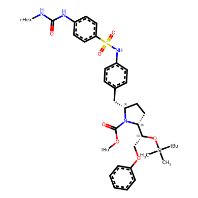 CCCCCCNC(=O)Nc1ccc(S(=O)(=O)Nc2ccc(C[C@@H]3CC[C@H]([C@@H](COc4ccccc4)O[Si](C)(C)C(C)(C)C)N3C(=O)OC(C)(C)C)cc2)cc1